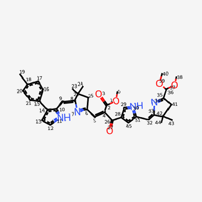 COC(=O)/C(=C\C1=NC(=C\c2[nH]ccc2-c2ccc(C)cc2)/C(C)(C)C1)C(=O)c1c[nH]c(/C=C2\N=C(C(OC)OC)CC2(C)C)c1